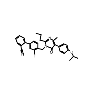 CCCc1nc(C)c(-c2ccc(OC(C)C)cc2)c(=O)n1Cc1ccc(-c2ccccc2C#N)cc1F